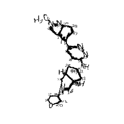 Cn1cc2cc(-c3ccc(N[C@@H]4C[C@@H]5CN(C6CCOCC6)C[C@@H]5C4)nn3)ccc2n1